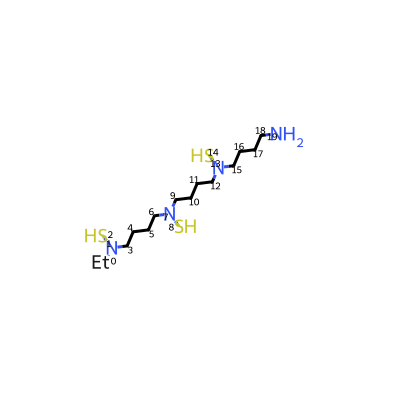 CCN(S)CCCCN(S)CCCCN(S)CCCCN